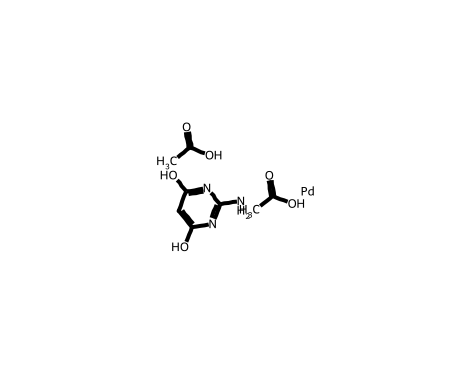 CC(=O)O.CC(=O)O.Nc1nc(O)cc(O)n1.[Pd]